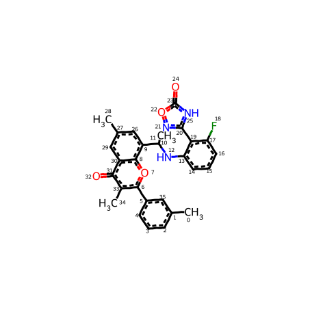 Cc1cccc(-c2oc3c(C(C)Nc4cccc(F)c4-c4noc(=O)[nH]4)cc(C)cc3c(=O)c2C)c1